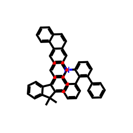 CC1(C)c2ccccc2-c2cc(N(c3ccc4c(ccc5ccccc54)c3)c3cccc(-c4ccccc4)c3-c3ccccc3-c3ccccc3)ccc21